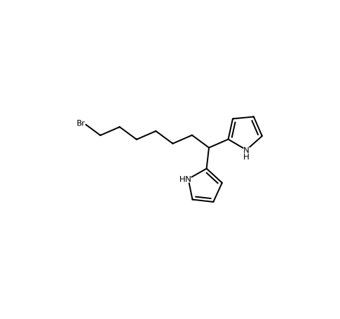 BrCCCCCCC(c1ccc[nH]1)c1ccc[nH]1